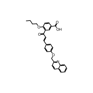 CCCCOc1ccc(C(=O)O)cc1C(=O)C=Cc1ccc(OCc2ccc3ccccc3n2)cc1